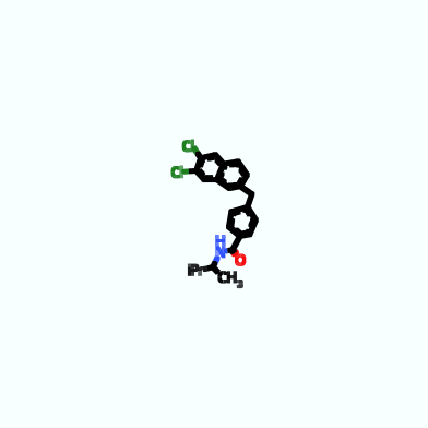 CC(C)C(C)NC(=O)c1ccc(Cc2ccc3cc(Cl)c(Cl)cc3c2)cc1